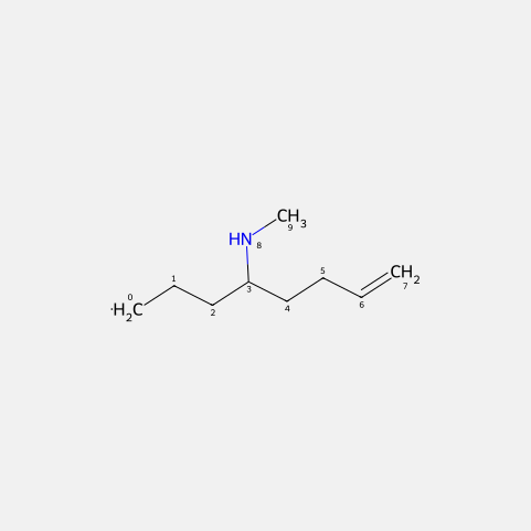 [CH2]CCC(CCC=C)NC